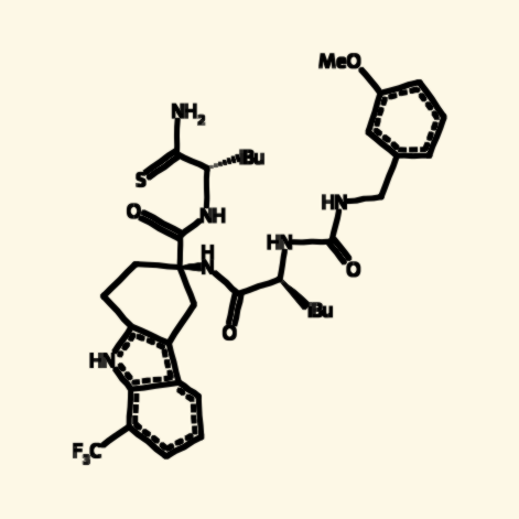 CCC(C)[C@H](NC(=O)NCc1cccc(OC)c1)C(=O)N[C@]1(C(=O)N[C@H](C(N)=S)C(C)CC)CCc2[nH]c3c(C(F)(F)F)cccc3c2C1